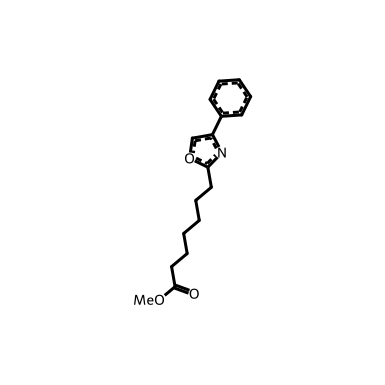 COC(=O)CCCCCCc1nc(-c2ccccc2)co1